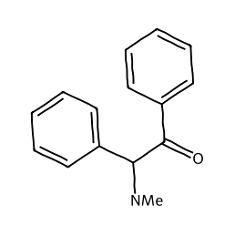 CNC(C(=O)c1ccccc1)c1ccccc1